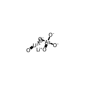 O=[As]([O-])([O-])[O-].[Li+].[O]=[U+2]=[O]